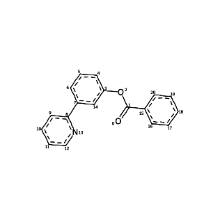 O=C(Oc1cccc(-c2ccccn2)c1)c1ccccc1